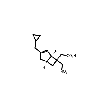 O=C(O)C[C@@]1(C[N+](=O)[O-])C[C@H]2CC(CC3CC3)=C[C@H]21